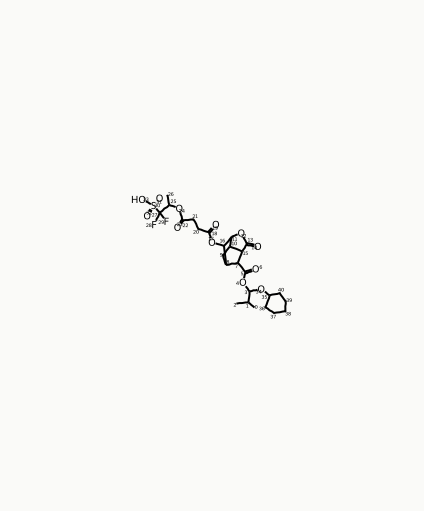 CC(C)C(OC(=O)C1C2CC3C(OC(=O)C31)C2OC(=O)CCC(=O)OC(C)C(F)(F)S(=O)(=O)O)OC1CCCCC1